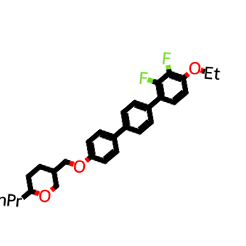 CCCC1CCC(COc2ccc(-c3ccc(-c4ccc(OCC)c(F)c4F)cc3)cc2)CO1